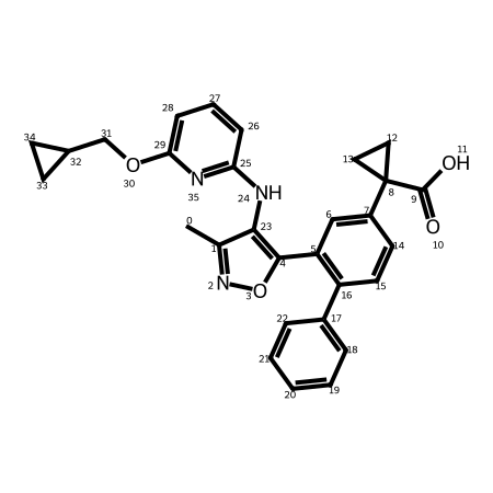 Cc1noc(-c2cc(C3(C(=O)O)CC3)ccc2-c2ccccc2)c1Nc1cccc(OCC2CC2)n1